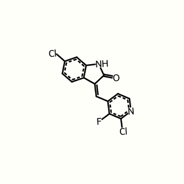 O=C1Nc2cc(Cl)ccc2C1=Cc1ccnc(Cl)c1F